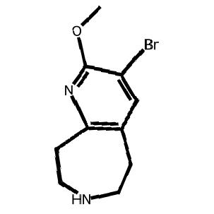 COc1nc2c(cc1Br)CCNCC2